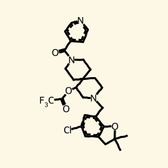 CC1(C)Cc2cc(Cl)cc(CN3CCC4(CCN(C(=O)c5ccncc5)CC4)C(OC(=O)C(F)(F)F)C3)c2O1